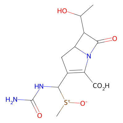 CC(O)C1C(=O)N2C(C(=O)O)=C(C(NC(N)=O)[S+](C)[O-])CC12